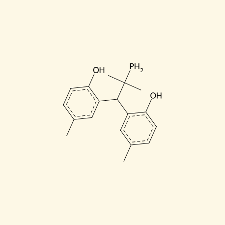 Cc1ccc(O)c(C(c2cc(C)ccc2O)C(C)(C)P)c1